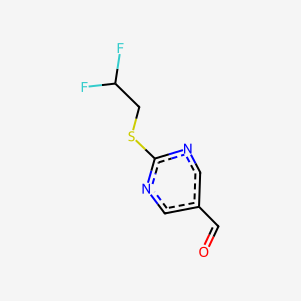 O=Cc1cnc(SCC(F)F)nc1